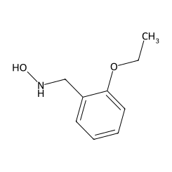 CCOc1ccccc1CNO